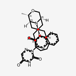 C[C@@H]1OC[C@H]2C[C@@H](n3c(=O)c(-n4ncc(=O)[nH]c4=O)nc4ccccc43)C[C@@H]1N2[C@@H]1C[C@@H]2CCCC[C@@H](C2)C1